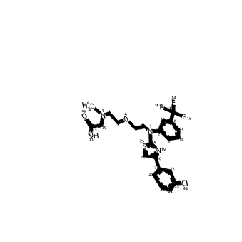 CN(CCOCCN(c1cccc(C(F)(F)F)c1)c1nc(-c2cccc(Cl)c2)cs1)CC(=O)O